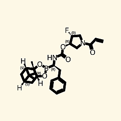 C=CC(=O)N1C[C@@H](F)[C@H](OC(=O)N[C@@H](Cc2ccccc2)B2O[C@@H]3C[C@@H]4C[C@@H](C4(C)C)[C@]3(C)O2)C1